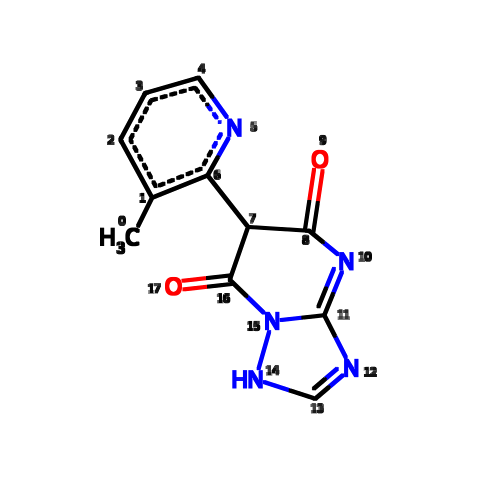 Cc1cccnc1C1C(=O)N=C2N=CNN2C1=O